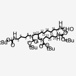 CC(C)(C)OC(=O)NCCCCN(CC(CCCCCCNC=O)CN(CCCCNC(=O)OC(C)(C)C)C(=O)OC(C)(C)C)C(=O)OC(C)(C)C